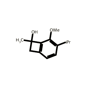 COc1c(C(C)C)ccc2c1C(C)(O)C2